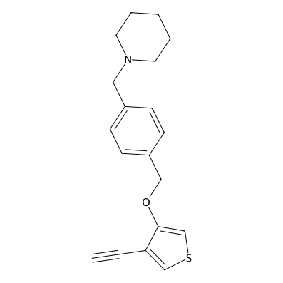 C#Cc1cscc1OCc1ccc(CN2CCCCC2)cc1